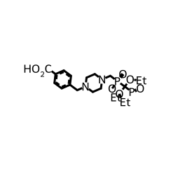 CCOC(OCC)(P=O)P(=O)(CN1CCN(Cc2ccc(C(=O)O)cc2)CC1)OCC